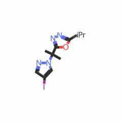 CC(C)c1nnc(C(C)(C)n2cc(I)cn2)o1